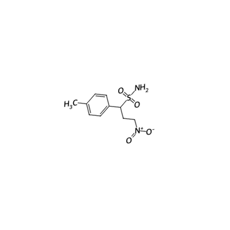 Cc1ccc(C(CC[N+](=O)[O-])S(N)(=O)=O)cc1